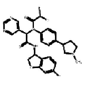 CN1CCC(c2ccc(N(C(=O)C(F)Cl)C(C(=O)NC3COc4cc(F)ccc43)c3cncnc3)cc2)C1